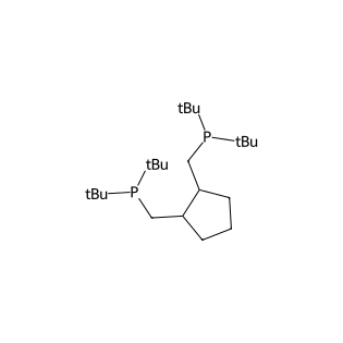 CC(C)(C)P(CC1CCCC1CP(C(C)(C)C)C(C)(C)C)C(C)(C)C